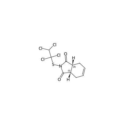 O=C1[C@H]2CC=CC[C@H]2C(=O)N1SC(Cl)(Cl)C(Cl)Cl